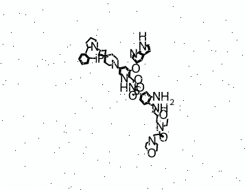 CC(C)c1ccccc1C1CCCN1C1CC2(CCN(c3cnc(C(=O)NS(=O)(=O)c4ccc(NCC5CN(C(=O)CN6CCOCC6)CCO5)c(N)c4)c(Oc4cnc5[nH]ccc5c4)c3)CC2)C1